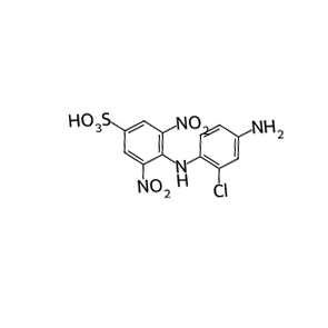 Nc1ccc(Nc2c([N+](=O)[O-])cc(S(=O)(=O)O)cc2[N+](=O)[O-])c(Cl)c1